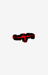 C=CC(=O)OCOC1CCC(OC(=O)C2CCC(C(=O)Oc3c4c(c(OC(=O)C5CCC(C(=O)OC6CCC(OCOC(=O)C=C)CC6)CC5)c5ccccc35)SC(=C3N=C5C=CC=CN5C3=O)S4)CC2)CC1